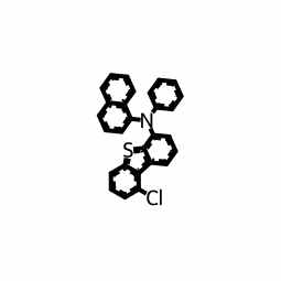 Clc1cccc2sc3c(N(c4ccccc4)c4cccc5ccccc45)cccc3c12